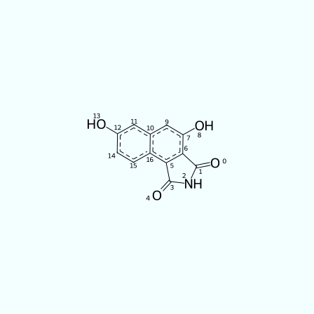 O=C1NC(=O)c2c1c(O)cc1cc(O)ccc21